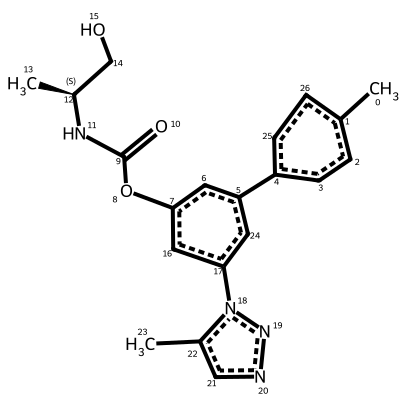 Cc1ccc(-c2cc(OC(=O)N[C@@H](C)CO)cc(-n3nncc3C)c2)cc1